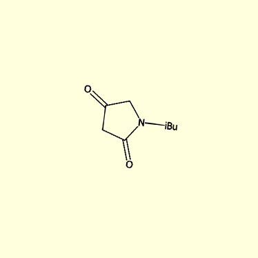 CCC(C)N1CC(=O)CC1=O